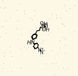 [N-]=[N+]=C1C=CC(Nc2ccc(CCCP(=O)(O)O)cc2)=CC1